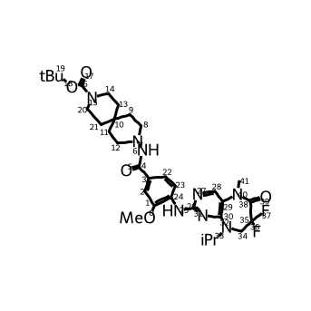 COc1cc(C(=O)NN2CCC3(CC2)CCN(C(=O)OC(C)(C)C)CC3)ccc1Nc1ncc2c(n1)N(C(C)C)CC(F)(F)C(=O)N2C